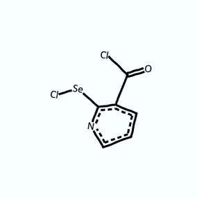 O=C(Cl)c1cccnc1[Se]Cl